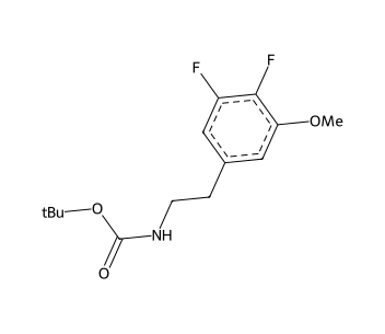 COc1cc(CCNC(=O)OC(C)(C)C)cc(F)c1F